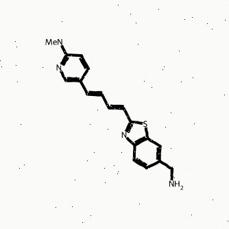 CNc1ccc(/C=C/C=C/c2nc3ccc(CN)cc3s2)cn1